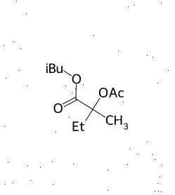 CCC(C)OC(=O)C(C)(CC)OC(C)=O